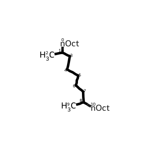 [CH2]CCCCCCCC(C)CCCCCC(C)CCCCCCCC